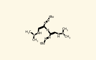 CN(C)NC=[C](N=NC(C)(C)C)[Ni][C](=CNN(C)C)N=NC(C)(C)C